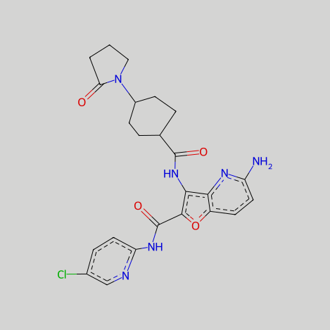 Nc1ccc2oc(C(=O)Nc3ccc(Cl)cn3)c(NC(=O)C3CCC(N4CCCC4=O)CC3)c2n1